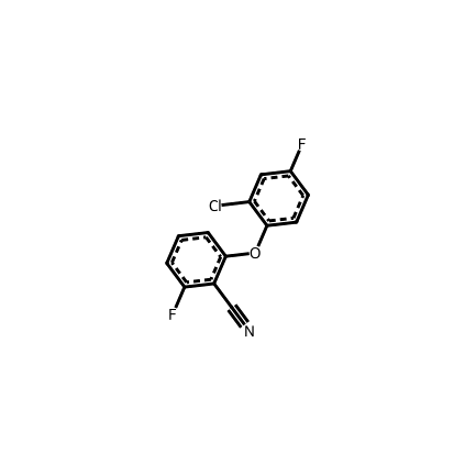 N#Cc1c(F)cccc1Oc1ccc(F)cc1Cl